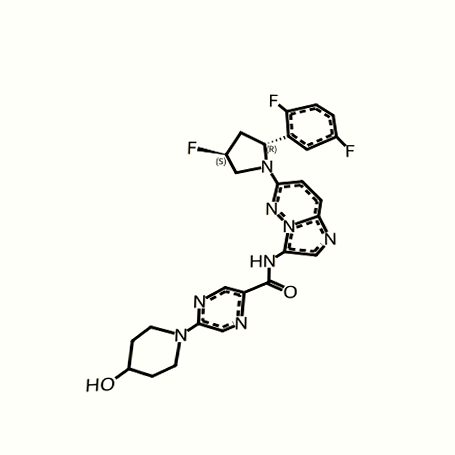 O=C(Nc1cnc2ccc(N3C[C@@H](F)C[C@@H]3c3cc(F)ccc3F)nn12)c1cnc(N2CCC(O)CC2)cn1